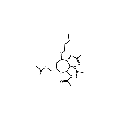 CCCCO[C@@H]1C[C@@H](COC(C)=O)OC(OC(C)=O)[C@H](OC(C)=O)[C@@H]1OC(C)=O